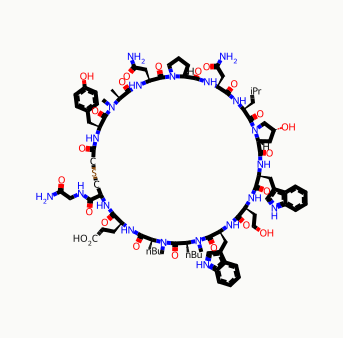 CCCC[C@H]1C(=O)N(C)[C@@H](CCCC)C(=O)N[C@@H](CCC(=O)O)C(=O)NC(C(=O)NCC(N)=O)CSCC(=O)N[C@@H](Cc2ccc(O)cc2)C(=O)N(C)[C@@H](C)C(=O)N[C@@H](CC(N)=O)C(=O)N2CCC[C@H]2C(=O)N[C@@H](CC(N)=O)C(=O)N[C@@H](CC(C)C)C(=O)N2C[C@H](O)C[C@H]2C(=O)N[C@@H](Cc2c[nH]c3ccccc23)C(=O)N[C@@H](CCO)C(=O)N[C@@H](Cc2c[nH]c3ccccc23)C(=O)N1C